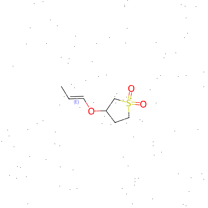 C/C=C/OC1CCS(=O)(=O)C1